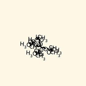 CC(C)(C)C(=O)COCC(OCC(=O)C(C)(C)C)C(COCC(=O)C(C)(C)C)OCC(=O)C(C)(C)I